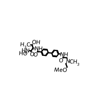 COCCN(C)CC(=O)Nc1ccc(-c2ccc(C(=O)N[C@H](C(=O)NO)[C@@H](C)O)cc2)cc1